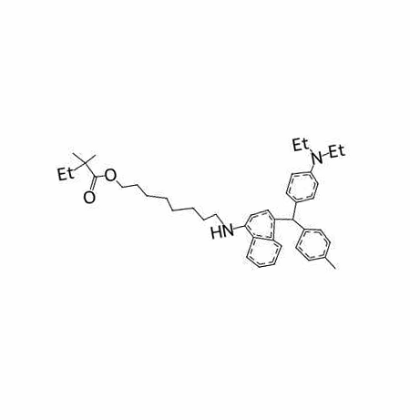 CCN(CC)c1ccc(C(c2ccc(C)cc2)c2ccc(NCCCCCCCCOC(=O)C(C)(C)CC)c3ccccc23)cc1